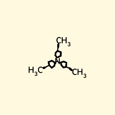 CC#Cc1ccc(N(c2ccc(C#CC)cc2)c2ccc(C#CC)cc2)cc1